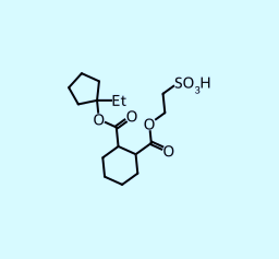 CCC1(OC(=O)C2CCCCC2C(=O)OCCS(=O)(=O)O)CCCC1